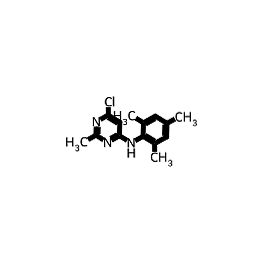 Cc1cc(C)c(Nc2cc(Cl)nc(C)n2)c(C)c1